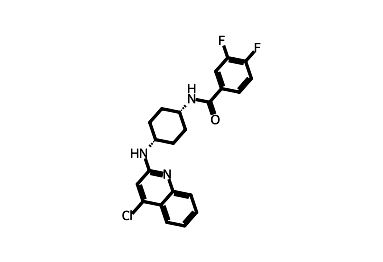 O=C(N[C@H]1CC[C@@H](Nc2cc(Cl)c3ccccc3n2)CC1)c1ccc(F)c(F)c1